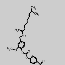 C=C(CCCC/C=C/C(C)C)NCc1ccc(OC(=O)Oc2ccc([N+](=O)[O-])cc2)c(OC)c1